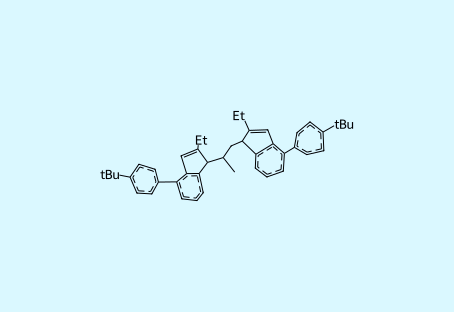 CCC1=Cc2c(-c3ccc(C(C)(C)C)cc3)cccc2C1CC(C)C1C(CC)=Cc2c(-c3ccc(C(C)(C)C)cc3)cccc21